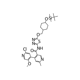 COc1cnc(Cl)cc1-c1cc(C)ncc1C(=O)Nc1nnc(OCC2CCC(O[Si](C)(C)C(C)(C)C)CC2)s1